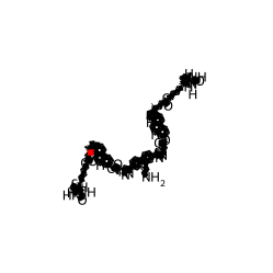 CC([C@H](C)CCC(=O)OCCCCC[C@@H]1SC[C@@H]2NC(=O)N[C@@H]21)C1(C)CCC2[C@@H](CC[C@@H]3C[C@H](OC(=O)Cn4cc(-c5ccc6c7ccc(-c8cn(CC(=O)O[C@@H]9CCC%10(C)C%11CCC%12(C)C([C@H](C)CCC(=O)OCCCCC[C@@H]%13SC[C@@H]%14NC(=O)N[C@@H]%14%13)CC[C@H]%12[C@@H]%11CC[C@@H]%10C9)nn8)cc7n(CCN)c6c5)nn4)CCC23C)C1